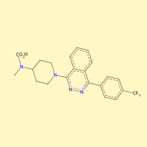 CN(C(=O)O)C1CCN(c2nnc(-c3ccc(C(F)(F)F)cc3)c3ccccc23)CC1